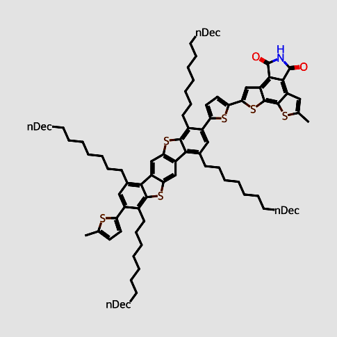 CCCCCCCCCCCCCCCCCc1c(-c2ccc(C)s2)cc(CCCCCCCCCCCCCCCCC)c2c1sc1cc3c(cc12)sc1c(CCCCCCCCCCCCCCCCC)c(-c2ccc(-c4cc5c6c(c7cc(C)sc7c5s4)C(=O)NC6=O)s2)cc(CCCCCCCCCCCCCCCCC)c13